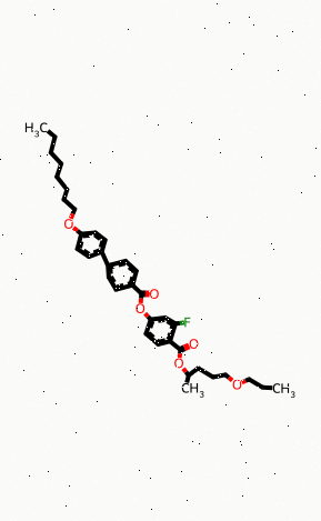 CCCCCCCCOc1ccc(-c2ccc(C(=O)Oc3ccc(C(=O)OC(C)CCCOCCC)c(F)c3)cc2)cc1